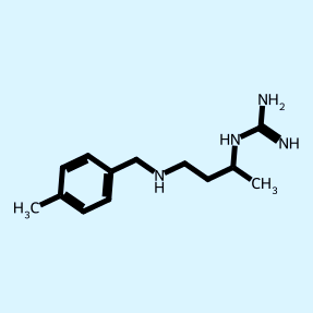 Cc1ccc(CNCCC(C)NC(=N)N)cc1